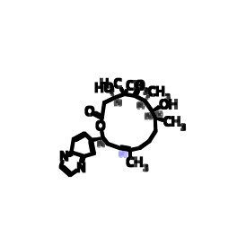 C/C1=C/C[C@@H](c2ccc3nccnc3c2)OC(=O)C[C@H](O)C(C)(C)C(=O)[C@H](C)[C@@H](O)[C@@H](C)CCC1